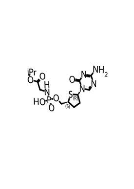 CC(C)OC(=O)CNP(=O)(O)OC[C@@H]1CC[C@H](n2cnc(N)nc2=O)S1